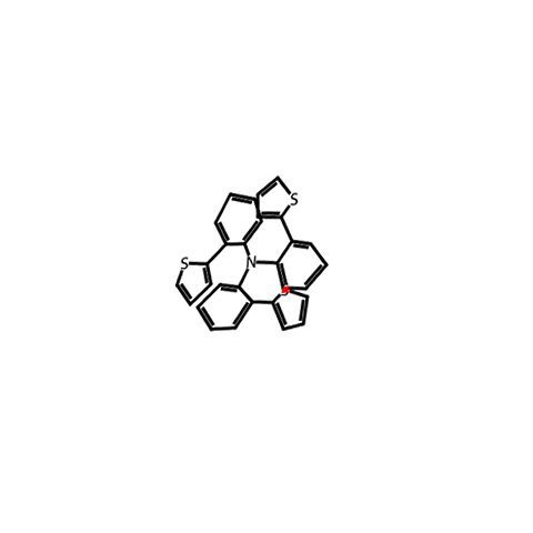 c1csc(-c2ccccc2N(c2ccccc2-c2cccs2)c2ccccc2-c2cccs2)c1